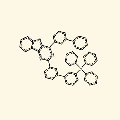 c1ccc(-c2cccc(-c3nc(-c4cccc(-c5cccc([Si](c6ccccc6)(c6ccccc6)c6ccccc6)c5)c4)nc4c3sc3ccccc34)c2)cc1